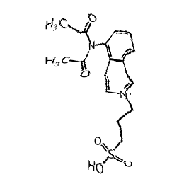 CC(=O)N(C(C)=O)c1cccc2c[n+](CCCS(=O)(=O)O)ccc12